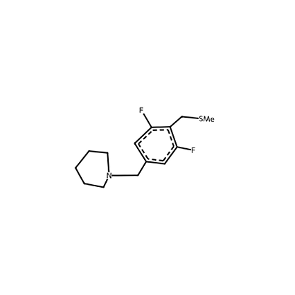 CSCc1c(F)cc(CN2CCCCC2)cc1F